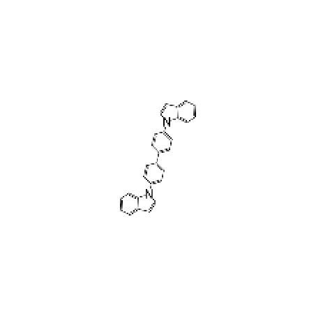 c1ccc2c(c1)ccn2-c1ccc(-c2ccc(-n3ccc4ccccc43)cc2)cc1